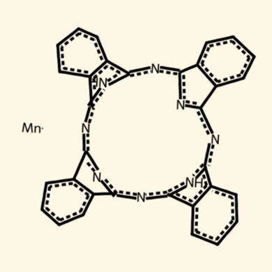 [Mn].c1ccc2c(c1)-c1nc-2nc2[nH]c(nc3nc(nc4[nH]c(n1)c1ccccc41)-c1ccccc1-3)c1ccccc21